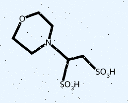 O=S(=O)(O)CC(N1CCOCC1)S(=O)(=O)O